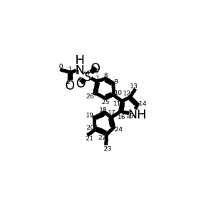 CC(=O)NS(=O)(=O)c1ccc(-c2c(C)c[nH]c2-c2ccc(C)c(C)c2)cc1